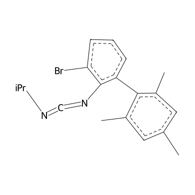 Cc1cc(C)c(-c2cccc(Br)c2N=C=NC(C)C)c(C)c1